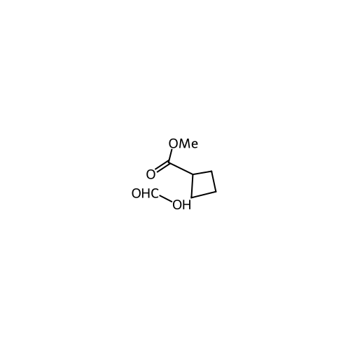 COC(=O)C1CCC1.O=CO